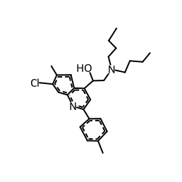 CCCCN(CCCC)CC(O)c1cc(-c2ccc(C)cc2)nc2cc(Cl)c(C)cc12